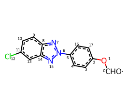 O=[C]Oc1ccc(-n2nc3ccc(Cl)cc3n2)cc1